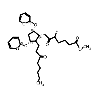 CCCCCC(=O)CCC1[C@@H](CC(=O)C(F)CCCC(=O)OC)[C@@H](O[C@@H]2C=CC=CO2)C[C@H]1O[C@@H]1C=CC=CO1